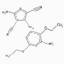 CCOc1ccc(OCC)c(N)c1.Cc1c(C#N)sc(N)c1C#N